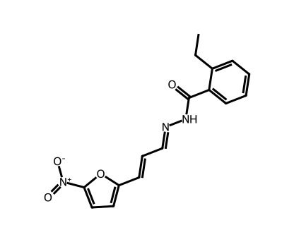 CCc1ccccc1C(=O)NN=CC=Cc1ccc([N+](=O)[O-])o1